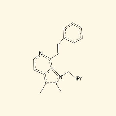 Cc1c(C)n(CC(C)C)c2c(C=Cc3ccccc3)nccc12